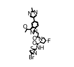 CC(=O)c1nn(CC(=O)N2C[C@H](F)C[C@H]2C(=O)Nc2nc(Br)cs2)c2ccc(-c3cnc(C)nc3)cc12